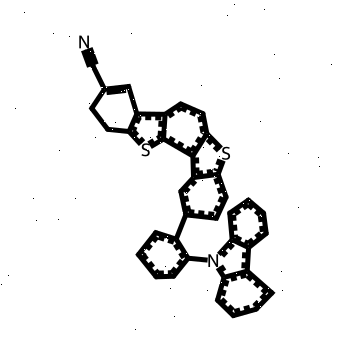 N#CC1=Cc2c(sc3c2ccc2sc4ccc(-c5ccccc5-n5c6ccccc6c6ccccc65)cc4c23)CC1